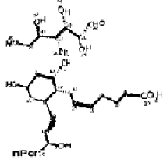 CCCCC[C@H](O)/C=C/[C@H]1OC(O)C[C@H](O)[C@@H]1C/C=C\CCCC(=O)O.O=C[C@H](O)[C@@H](O)[C@H](O)[C@H](O)CO